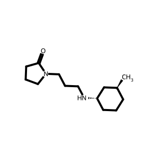 C[C@H]1CCC[C@H](NCCCN2CCCC2=O)C1